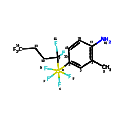 Cc1cc(S(F)(F)(F)(F)C(F)(F)CCC(F)(F)F)ccc1N